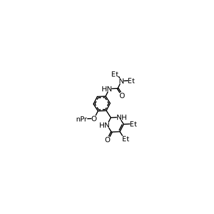 CCCOc1ccc(NC(=O)N(CC)CC)cc1C1NC(=O)C(CC)=C(CC)N1